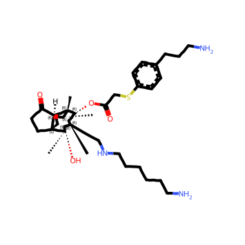 C[C@@H]1CC[C@@]23CCC(=O)[C@H]2[C@]1(C)[C@H](OC(=O)CSc1ccc(CCCN)cc1)C[C@](C)(CNCCCCCCN)[C@@H](O)[C@@H]3C